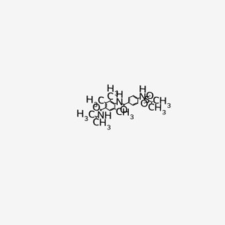 Cc1cc(C(=O)NC(C)C)c(C)c(C)c1NC(=O)c1ccc(NS(=O)(=O)C(C)C)cc1